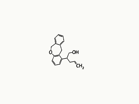 C=CCC(CO)c1cccc2c1Cc1ccccc1CO2